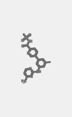 Cc1cc(Nc2nccc(C(F)(F)F)n2)cc(-c2ccc(C(=O)NS(C)(=O)=O)nc2)c1